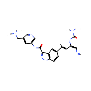 C=N/C=C(\C=C(/C)c1ccc2[nH]nc(C(=O)Nc3cncc(CN(C)C)c3)c2c1)NC(=O)N(C)C